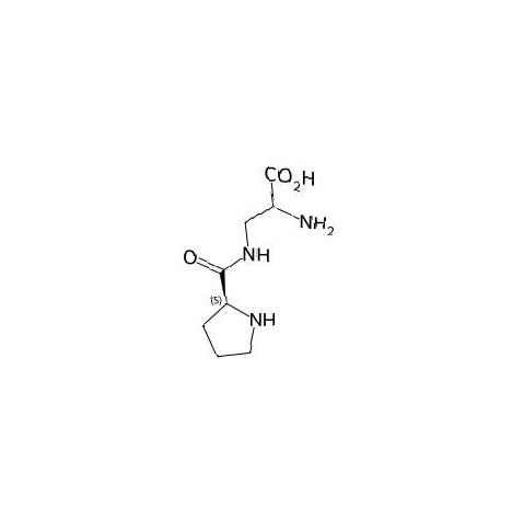 NC(CNC(=O)[C@@H]1CCCN1)C(=O)O